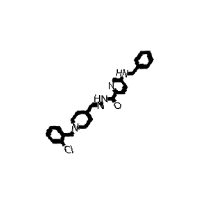 O=C(NN=CC1CCN(Cc2ccccc2Cl)CC1)c1ccc(NCc2ccccc2)cn1